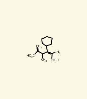 C=C(C(=O)O)C(C)C(=C(C)C(=O)O)C1CCCCC1